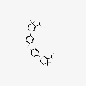 CC1(C)CCN(c2ccc(Oc3ccc(N4C=C(C(=O)C(F)(F)F)C(C)(C)CC4)cc3)cc2)C=C1C(=O)C(F)(F)F